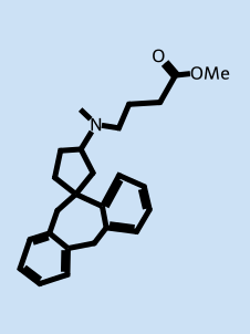 COC(=O)CCCN(C)C1CCC2(Cc3ccccc3Cc3ccccc32)C1